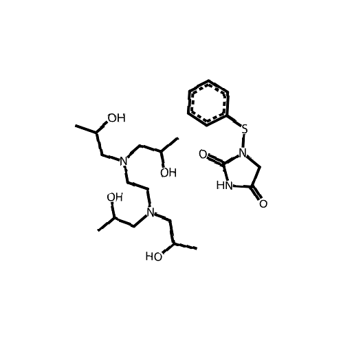 CC(O)CN(CCN(CC(C)O)CC(C)O)CC(C)O.O=C1CN(Sc2ccccc2)C(=O)N1